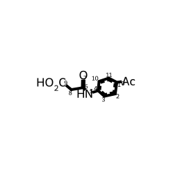 CC(=O)c1ccc(NC(=O)CC(=O)O)cc1